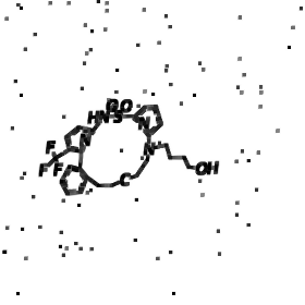 O=S1(=O)Nc2ccc(C(F)(F)F)c(n2)-c2ccccc2CCCCCN(CCCCO)c2cccc1n2